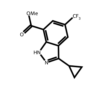 COC(=O)c1cc(C(F)(F)F)cc2c(C3CC3)n[nH]c12